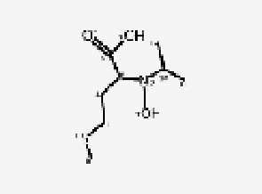 CSCCC(C(=O)O)N(O)C(C)C